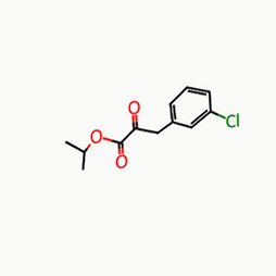 CC(C)OC(=O)C(=O)Cc1cccc(Cl)c1